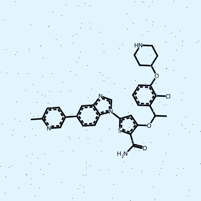 Cc1ccc(-c2ccc3c(c2)ncn3-c2cc(OC(C)c3cccc(OC4CCNCC4)c3Cl)c(C(N)=O)s2)cn1